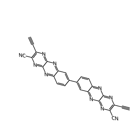 C#Cc1nc2nc3ccc(-c4ccc5nc6nc(C#N)c(C#C)nc6nc5c4)cc3nc2nc1C#N